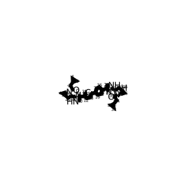 O=C([CH]C1CC1)N1C(c2nc(-c3ccc(-c4ccc(-c5c[nH]c([C@@H]6C[C@H]7CC7N6C(=O)[CH]C6CC6)n5)cc4)cc3)c[nH]2)CC2CC21